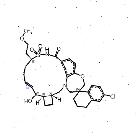 O=C1NS(=O)(=O)[C@H](CCOC(F)(F)F)CC/C=C/[C@H](O)[C@@H]2CC[C@H]2CN2C[C@@]3(CCCc4cc(Cl)ccc43)COc3ccc1cc32